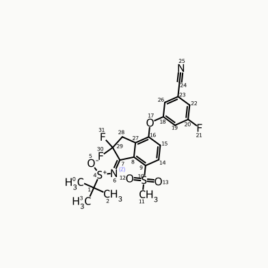 CC(C)(C)[S+]([O-])/N=C1/c2c(S(C)(=O)=O)ccc(Oc3cc(F)cc(C#N)c3)c2CC1(F)F